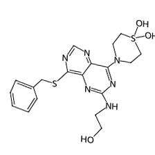 OCCNc1nc(N2CCS(O)(O)CC2)c2ncnc(SCc3ccccc3)c2n1